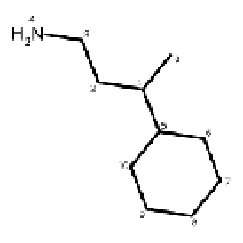 CC(CCN)C1CCCCC1